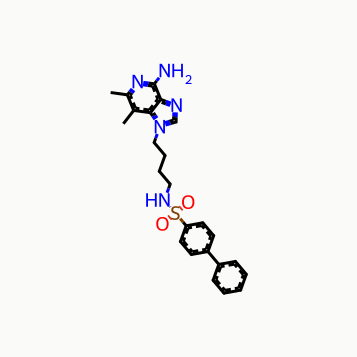 Cc1nc(N)c2ncn(CCCCNS(=O)(=O)c3ccc(-c4ccccc4)cc3)c2c1C